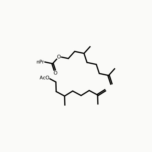 C=C(C)CCCC(C)CCOC(=O)CCC.C=C(C)CCCC(C)CCOC(C)=O